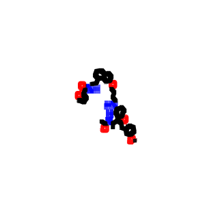 COc1cccc(Cc2oc3ccc(NCCCCOc4ccc5cccc(CCNC(=O)c6ccco6)c5c4)cc3c2C(C)NC(C)=O)c1